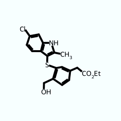 CCOC(=O)Cc1ccc(CO)c(Sc2c(C)[nH]c3cc(Cl)ccc23)c1